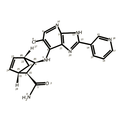 NC(=O)[C@@H]1[C@H](Nc2c(Cl)cnc3[nH]c(-c4cccnc4)nc23)[C@H]2C=C[C@@H]1C2